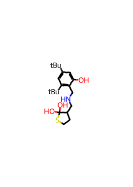 CC(C)(C)c1cc(O)c(CNCC2CCSC2(O)O)c(C(C)(C)C)c1